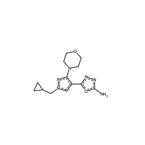 Nc1nnc(-c2cn(CC3CC3)nc2N2CCOCC2)o1